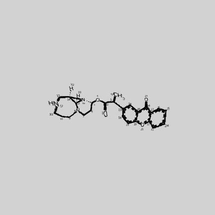 CC(C(=O)OC1CCN2CCCNC[C@@H]3[C@H]2[N@@]13)c1ccc2oc3ccccc3c(=O)c2c1